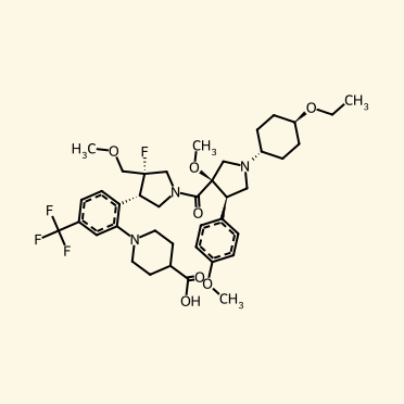 CCO[C@H]1CC[C@H](N2C[C@@H](c3ccc(OC)cc3)[C@](OC)(C(=O)N3C[C@H](c4ccc(C(F)(F)F)cc4N4CCC(C(=O)O)CC4)[C@@](F)(COC)C3)C2)CC1